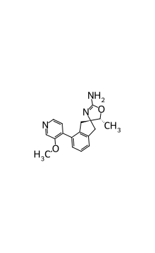 COc1cnccc1-c1cccc2c1C[C@@]1(C2)N=C(N)O[C@@H]1C